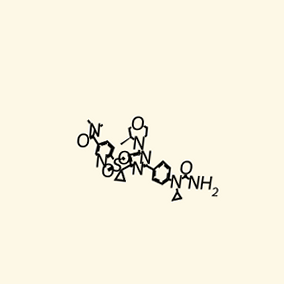 C[C@H]1COCCN1c1cc(C2(S(=O)(=O)c3ccc(C(=O)N(C)C)cn3)CC2)nc(-c2ccc(N(C(N)=O)C3CC3)cc2)n1